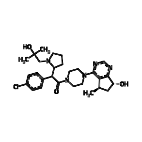 C[C@@H]1C[C@@H](O)c2ncnc(N3CCN(C(=O)C(c4ccc(Cl)cc4)C4CCCN4CC(C)(C)O)CC3)c21